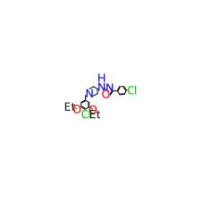 CCOc1cc(CN2CCC(Nc3nc(-c4ccc(Cl)cc4)co3)CC2)cc(OCC)c1Cl